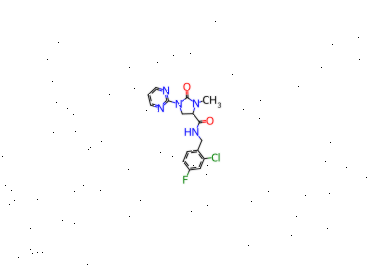 CN1C(=O)N(c2ncccn2)CC1C(=O)NCc1ccc(F)cc1Cl